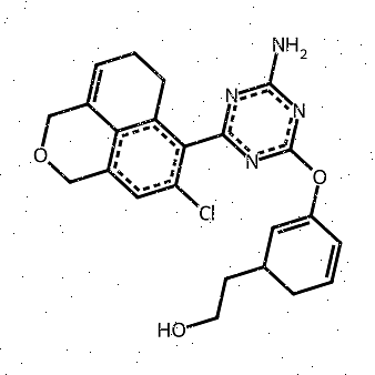 Nc1nc(OC2=CC(CCO)CC=C2)nc(-c2c(Cl)cc3c4c2CCC=C4COC3)n1